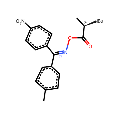 CCC(C)[C@H](C)C(=O)O/N=C(/c1ccc(C)cc1)c1ccc([N+](=O)[O-])cc1